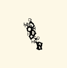 C[C@]12CCC(=O)N[C@@H]1CC[C@@H]1[C@@H]2CC[C@]2(C)[C@@H](C(=O)NC3C4CC5CC(C4)CC3C5)CC[C@@H]12